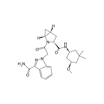 CO[C@H]1C[C@@H](NC(=O)[C@@H]2C[C@H]3C[C@H]3N2C(=O)Cn2nc(C(N)=O)c3ccccc32)CC(C)(C)C1